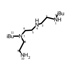 CCC(C)NCCNCCN(CCN)C(C)CC